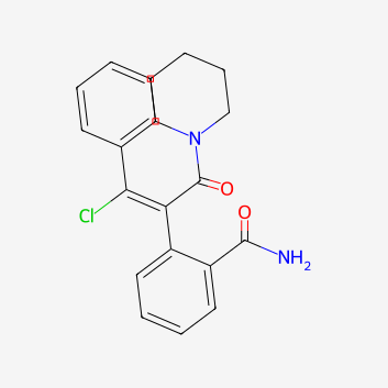 NC(=O)c1ccccc1C(C(=O)N1CCCCC1)=C(Cl)c1ccccc1